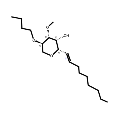 CCCCCCC/C=C/[C@@H]1OC[C@@H](OCCCC)[C@H](OC)[C@@H]1O